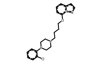 Clc1ccccc1N1CCN(CCCCOc2cccc3ccnn23)CC1